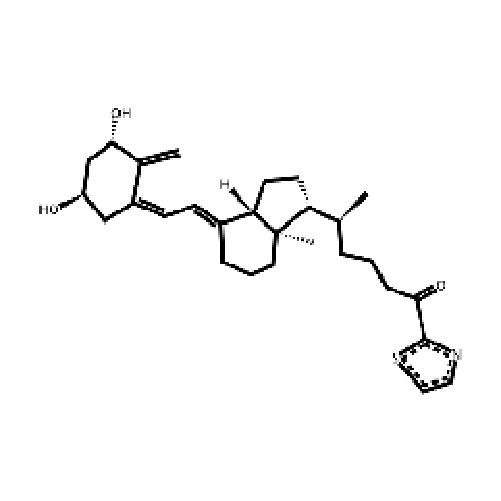 C=C1/C(=C\C=C2/CCC[C@]3(C)[C@@H]([C@@H](C)CCCC(=O)c4nccs4)CC[C@@H]23)C[C@@H](O)C[C@@H]1O